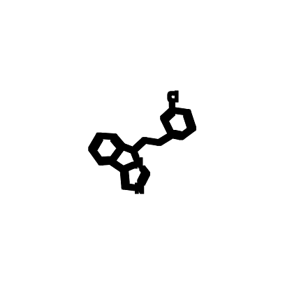 Clc1cccc(CCC2c3ccccc3-c3cncn32)c1